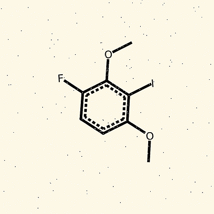 COc1ccc(F)c(OC)c1I